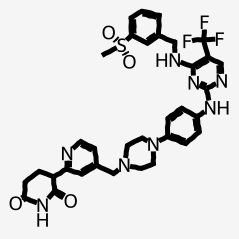 CS(=O)(=O)c1cccc(CNc2nc(Nc3ccc(N4CCN(Cc5ccnc(C6CCC(=O)NC6=O)c5)CC4)cc3)ncc2C(F)(F)F)c1